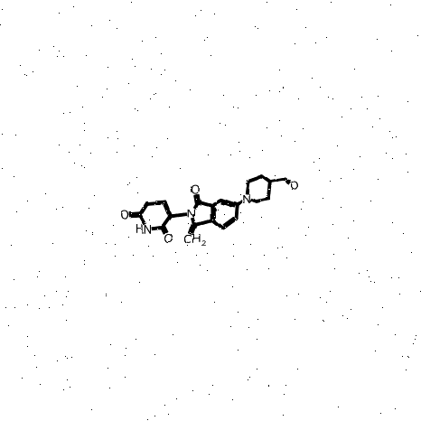 C=C1c2ccc(N3CCC(C=O)CC3)cc2C(=O)N1C1CCC(=O)NC1=O